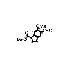 COC(=O)C1CCc2cc(C=O)c(OC)cc21